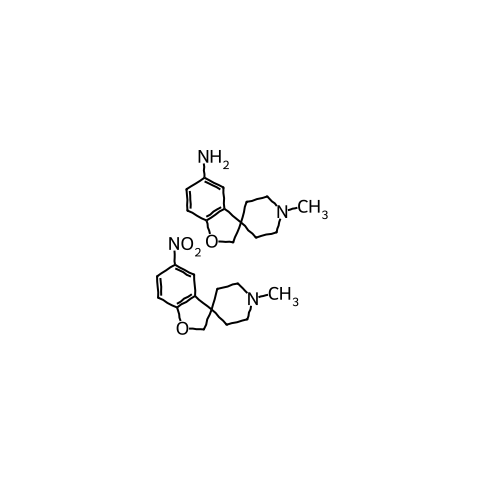 CN1CCC2(CC1)COc1ccc(N)cc12.CN1CCC2(CC1)COc1ccc([N+](=O)[O-])cc12